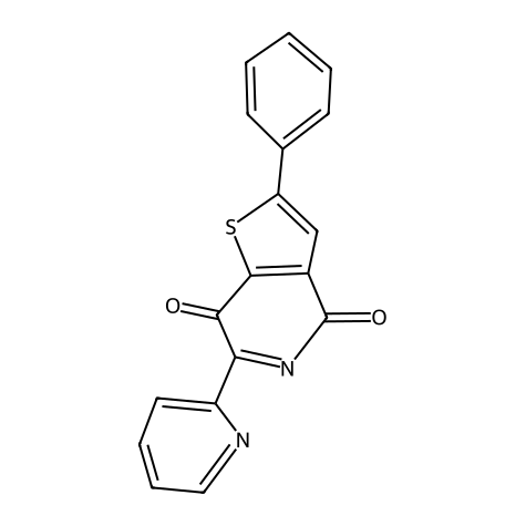 O=C1N=C(c2ccccn2)C(=O)c2sc(-c3ccccc3)cc21